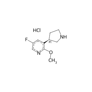 COc1ncc(F)cc1[C@H]1CCNC1.Cl